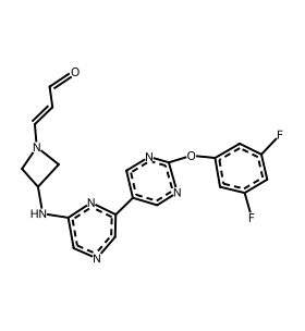 O=CC=CN1CC(Nc2cncc(-c3cnc(Oc4cc(F)cc(F)c4)nc3)n2)C1